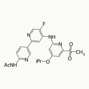 CC(=O)Nc1ccc(-c2cc(Nc3cc(OC(C)C)cc(S(C)(=O)=O)n3)c(F)cn2)cn1